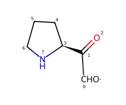 O=[C]C(=O)[C@@H]1CCCN1